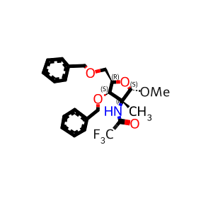 CO[C@H]1O[C@H](COCc2ccccc2)[C@@H](OCc2ccccc2)[C@@]1(C)NC(=O)C(F)(F)F